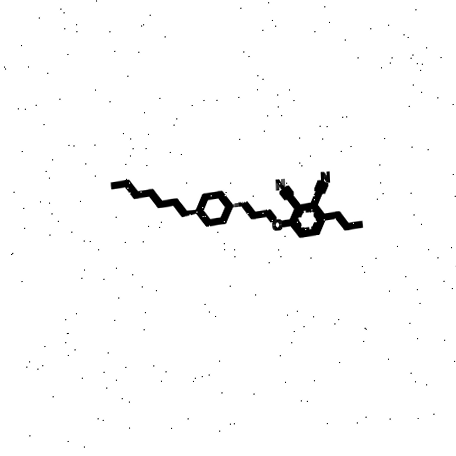 CCCCCCC[C@H]1CC[C@H](CCCOc2ccc(CCC)c(C#N)c2C#N)CC1